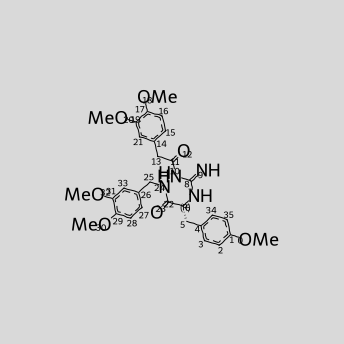 COc1ccc(C[C@@H](NC(=N)NC(=O)Cc2ccc(OC)c(OC)c2)C(=O)NCc2ccc(OC)c(OC)c2)cc1